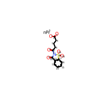 CCCOC(=O)CCCC(=O)N1C(=O)c2ccccc2S1(=O)=O